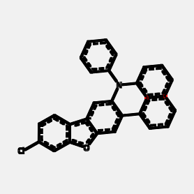 Clc1ccc2c(c1)oc1cc(-c3ccccc3)c(N(c3ccccc3)c3ccccc3)cc12